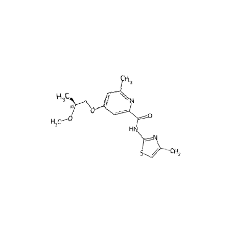 CO[C@@H](C)COc1cc(C)nc(C(=O)Nc2nc(C)cs2)c1